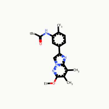 CCOc1nn2cc(-c3ccc(C(F)(F)F)c(NC(=O)C(C)(C)C)c3)nc2c(C)c1C